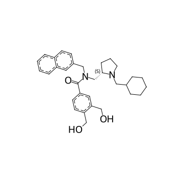 O=C(c1ccc(CO)c(CO)c1)N(Cc1ccc2ccccc2c1)C[C@@H]1CCCN1CC1CCCCC1